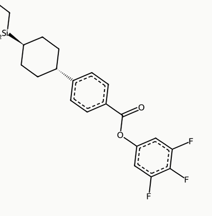 CC[SiH2][C@H]1CC[C@H](c2ccc(C(=O)Oc3cc(F)c(F)c(F)c3)cc2)CC1